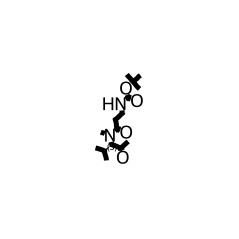 CC(=O)[C@H](C(C)C)N(C)C(=O)CCNC(=O)OC(C)(C)C